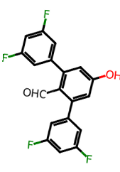 O=Cc1c(-c2cc(F)cc(F)c2)cc(O)cc1-c1cc(F)cc(F)c1